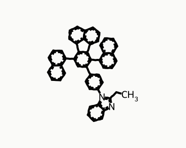 CCc1nc2ccccc2n1-c1ccc(-c2cc(-c3cccc4ccccc34)c3c(c2-c2cccc4ccccc24)-c2cccc4cccc-3c24)cc1